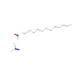 CCCCCCCCCCCCOC(=O)ONC(=N)N